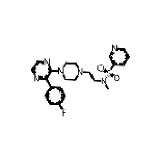 CN(CCN1CCN(c2nccnc2-c2ccc(F)cc2)CC1)S(=O)(=O)c1cccnc1